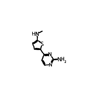 CNc1ccc(-c2ccnc(N)n2)s1